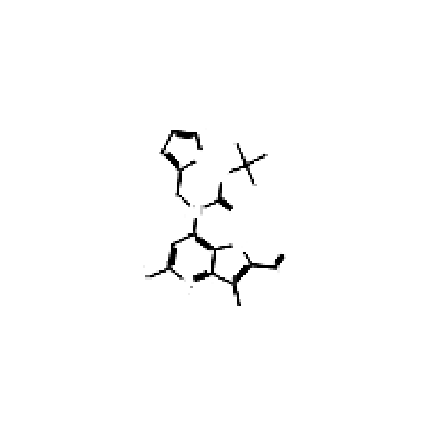 Cc1c(C=O)sc2c(N(Cc3cccs3)C(=O)OC(C)(C)C)cc(Cl)nc12